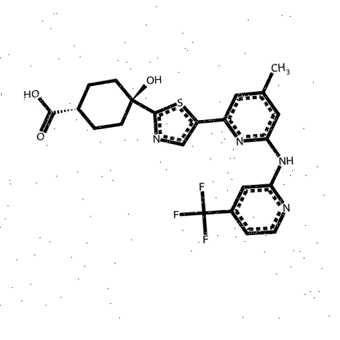 Cc1cc(Nc2cc(C(F)(F)F)ccn2)nc(-c2cnc([C@]3(O)CC[C@H](C(=O)O)CC3)s2)c1